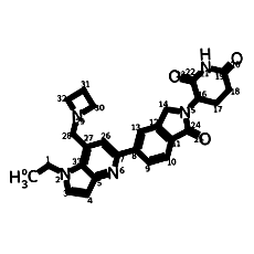 CCn1ccc2nc(-c3ccc4c(c3)CN(C3CCC(=O)NC3=O)C4=O)cc(CN3CCC3)c21